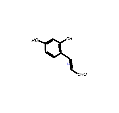 O=C/C=C/c1ccc(O)cc1O